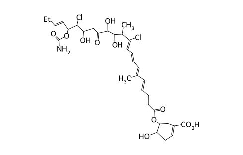 CC/C=C/C(OC(N)=O)C(Cl)C(O)CC(=O)C(O)C(O)C(C)/C(Cl)=C/C=C/C=C(C)/C=C/C=C/C(=O)OC1CC(C(=O)O)=CCC1O